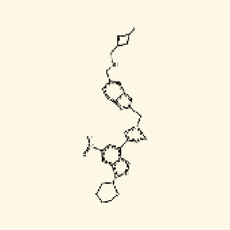 O=[N+]([O-])c1cc(-c2cn(Cc3cn4cc(CNCC56CC(F)(C5)C6)ccc4n3)nn2)c2cnn(C3CCCCO3)c2c1